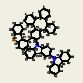 c1ccc2c(c1)-c1ccccc1-c1cc(-c3cccc4sc5ccccc5c34)c(-n3c4ccccc4c4cc(-n5c6ccccc6c6ccccc65)ccc43)cc1-c1ccccc1-2